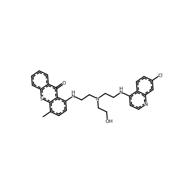 Cc1ccc(NCCN(CCO)CCNc2ccnc3cc(Cl)ccc23)c2c(=O)c3ccccc3sc12